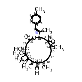 C/C(=C\c1ccc(C)cn1)[C@@H]1C[C@@H]2O[C@]2(C)CCC[C@H](C)[C@H](O)[C@@H](C)C(=O)C(C)(C)[C@@H](O)CC(=O)O1